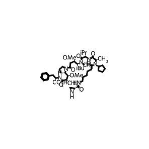 CC[C@H](C)[C@@H]([C@@H](CC(=O)N1CCC[C@H]1[C@H](OC)[C@@H](C)C(=O)N[C@@H](Cc1ccccc1)C(=O)O)OC)N(C)C(=O)[C@@H](NC(=O)[C@H](C)N(C(=O)CCCCCNC(=O)[C@@H]1CN1)C1CCCC1)C(C)C